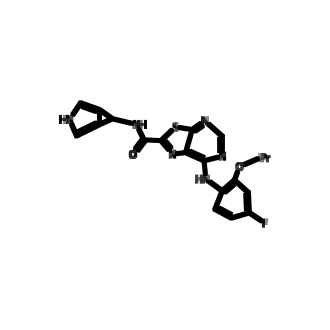 CC(C)Oc1cc(F)ccc1Nc1ncnc2sc(C(=O)NC3c4c[nH]cc43)nc12